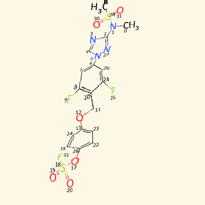 CN(c1ncn(-c2cc(F)c(COc3ccc(OS(=O)(=O)F)cc3)c(F)c2)n1)S(C)(=O)=O